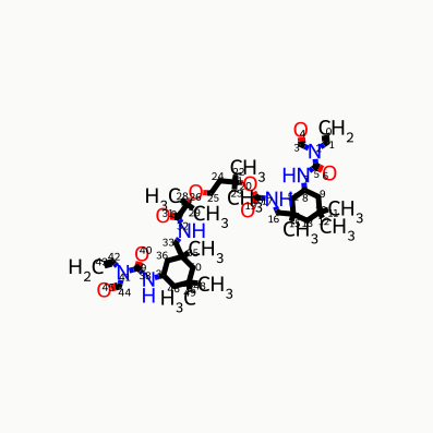 C=CN(C=O)C(=O)NC1CC(C)(C)CC(C)(CNC(=O)OC(C)(C)CCOC(C)(C)C(=O)NCC2(C)CC(NC(=O)N(C=C)C=O)CC(C)(C)C2)C1